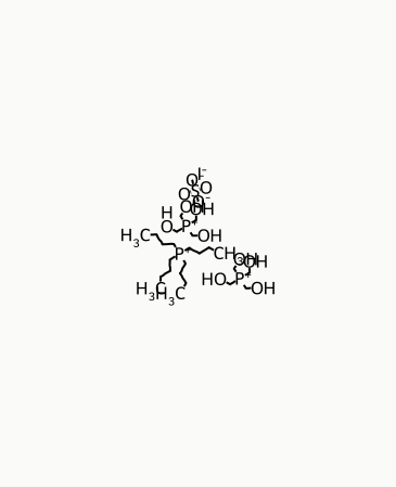 CCCC[P+](CCCC)(CCCC)CCCC.O=S(=O)([O-])[O-].OC[P+](CO)(CO)CO.OC[P+](CO)(CO)CO.[I-]